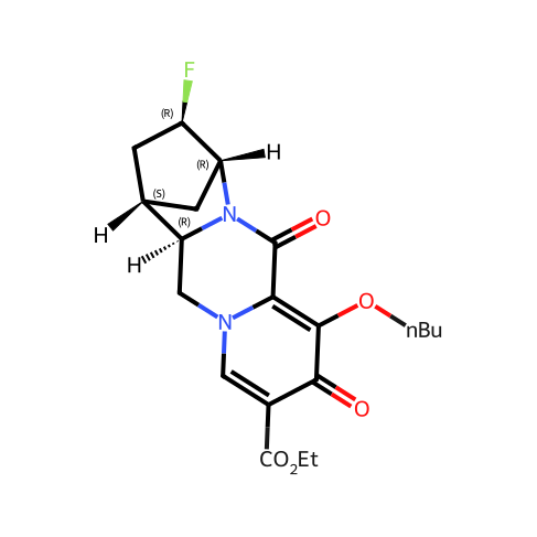 CCCCOc1c2n(cc(C(=O)OCC)c1=O)C[C@H]1[C@@H]3C[C@@H](F)[C@@H](C3)N1C2=O